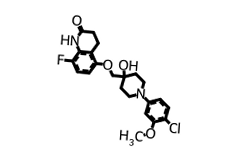 COc1cc(N2CCC(O)(COc3ccc(F)c4c3CCC(=O)N4)CC2)ccc1Cl